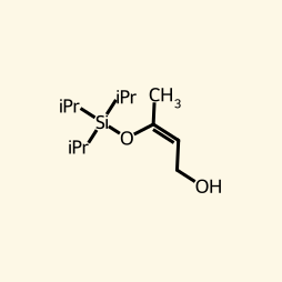 C/C(=C/CO)O[Si](C(C)C)(C(C)C)C(C)C